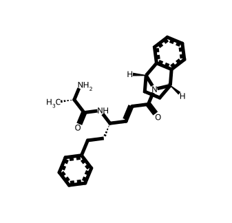 C[C@H](N)C(=O)N[C@H](/C=C/C(=O)N1[C@@H]2CC[C@H]1c1ccccc12)CCc1ccccc1